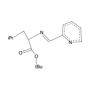 CC(C)CC(N=Cc1ccccn1)C(=O)OC(C)(C)C